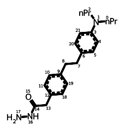 CCCN(CCC)c1ccc(CCc2ccc(CC(=O)NN)cc2)cc1